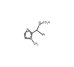 CC(C)C(NC(=O)O)c1nccn1C